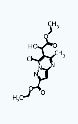 CCOC(=O)c1cc2nc(C)c(C(O)C(=O)OCC)c(Cl)n2n1